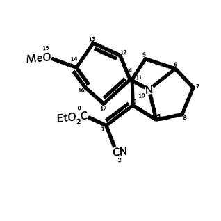 CCOC(=O)/C(C#N)=C1\CCC2CCC1N2c1ccc(OC)cc1